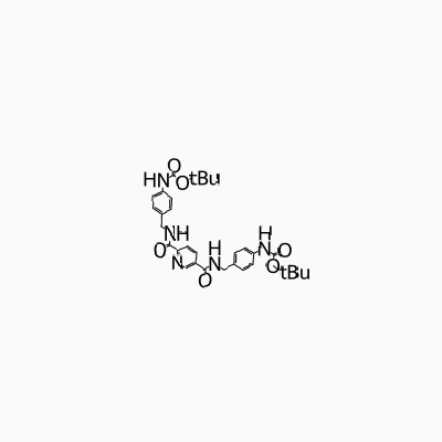 CC(C)(C)OC(=O)Nc1ccc(CNC(=O)c2ccc(C(=O)NCc3ccc(NC(=O)OC(C)(C)C)cc3)nc2)cc1